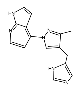 Cc1nn(-c2ccnc3[nH]ccc23)cc1Cc1cnc[nH]1